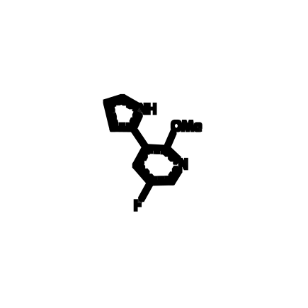 COc1ncc(F)cc1-c1ccc[nH]1